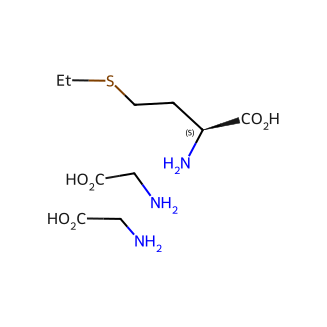 CCSCC[C@H](N)C(=O)O.NCC(=O)O.NCC(=O)O